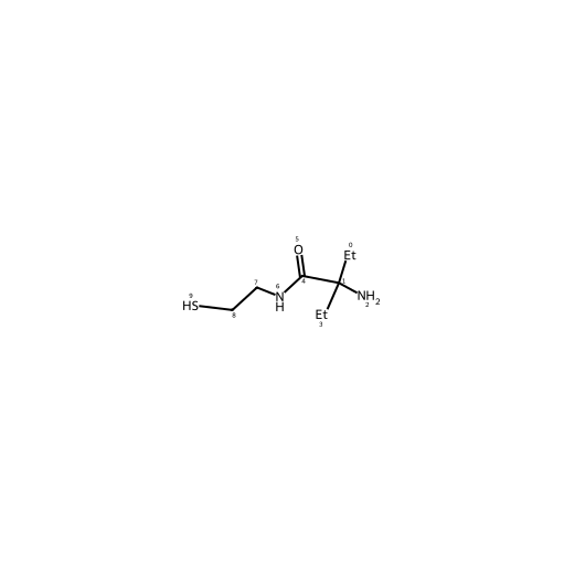 CCC(N)(CC)C(=O)NCCS